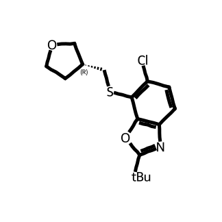 CC(C)(C)c1nc2ccc(Cl)c(SC[C@@H]3CCOC3)c2o1